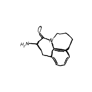 NC1Cc2cccc3c2N(CCC3)C1=O